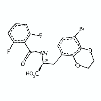 O=C(N[C@@H](Cc1ccc(Br)c2c1OCCO2)C(=O)O)c1c(F)cccc1F